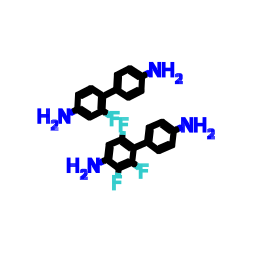 Nc1ccc(-c2c(F)cc(N)c(F)c2F)cc1.Nc1ccc(-c2ccc(N)cc2F)cc1